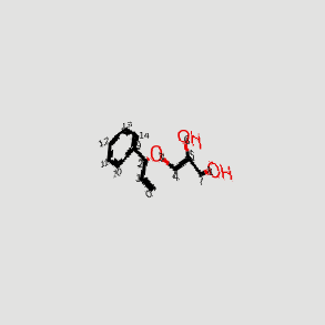 C=CC(OCC(O)CO)c1ccccc1